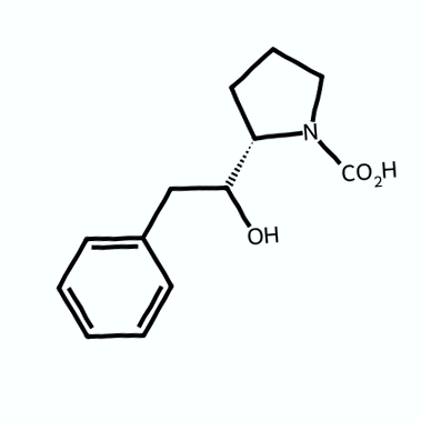 O=C(O)N1CCC[C@H]1C(O)Cc1ccccc1